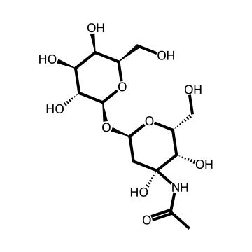 CC(=O)N[C@@]1(O)C[C@@H](O[C@@H]2O[C@H](CO)[C@H](O)[C@H](O)[C@H]2O)O[C@H](CO)[C@@H]1O